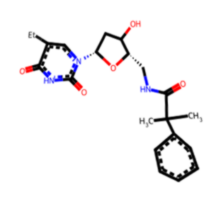 CCc1cn([C@@H]2CC(O)[C@H](CNC(=O)C(C)(C)c3ccccc3)O2)c(=O)[nH]c1=O